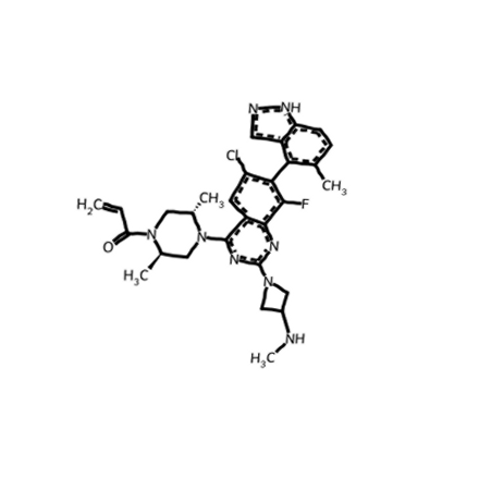 C=CC(=O)N1C[C@H](C)N(c2nc(N3CC(NC)C3)nc3c(F)c(-c4c(C)ccc5[nH]ncc45)c(Cl)cc23)C[C@H]1C